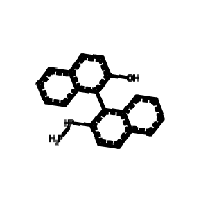 Oc1ccc2ccccc2c1-c1c(PP)ccc2ccccc12